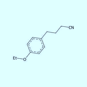 CCOc1ccc(CCCC#N)cc1